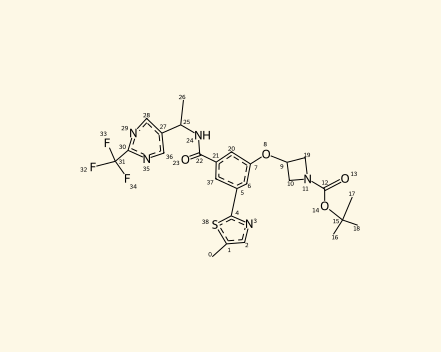 Cc1cnc(-c2cc(OC3CN(C(=O)OC(C)(C)C)C3)cc(C(=O)NC(C)c3cnc(C(F)(F)F)nc3)c2)s1